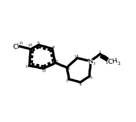 C=CN1CCCC(c2ccc(Cl)cc2)C1